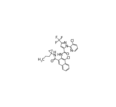 CCCC1(NC(=O)c2cc3ccccc3c(Cl)c2NC(=O)c2cc(C(F)(F)F)nn2-c2ncccc2Cl)CC1